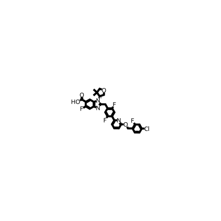 CC1(C)COC[C@H]1n1c(Cc2cc(F)c(-c3cccc(OCc4ccc(Cl)cc4F)n3)cc2F)nc2cc(F)c(C(=O)O)cc21